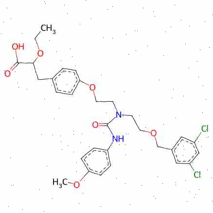 CCOC(Cc1ccc(OCCN(CCOCc2cc(Cl)cc(Cl)c2)C(=O)Nc2ccc(OC)cc2)cc1)C(=O)O